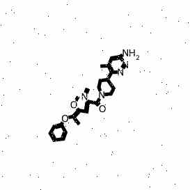 C=N/C(=C\C(OC)=C(/C)Oc1ccccc1)C(=O)N1CCC(c2nnc(N)cc2C)CC1